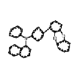 c1ccc(N(c2ccc(-c3cccc4c3Oc3ccccc3O4)cc2)c2cccc3ccccc23)cc1